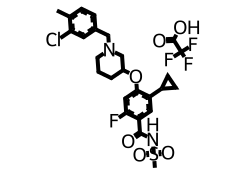 Cc1ccc(CN2CCCC(Oc3cc(F)c(C(=O)NS(C)(=O)=O)cc3C3CC3)C2)cc1Cl.O=C(O)C(F)(F)F